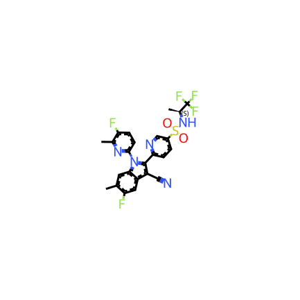 Cc1cc2c(cc1F)c(C#N)c(-c1ccc(S(=O)(=O)N[C@@H](C)C(F)(F)F)cn1)n2-c1ccc(F)c(C)n1